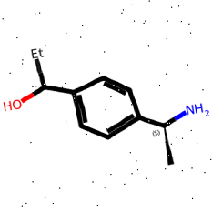 CCC(O)c1ccc([C@H](C)N)cc1